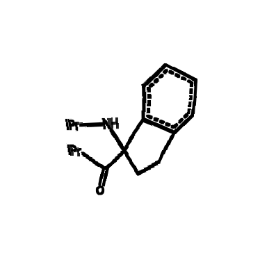 CC(C)NC1(C(=O)C(C)C)CCc2ccccc21